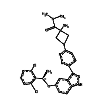 C[C@@H](Oc1ccc2[nH]nc(-c3ccc(N4CC(N)(C(=O)N(C)C)C4)nn3)c2c1)c1c(Cl)cncc1Cl